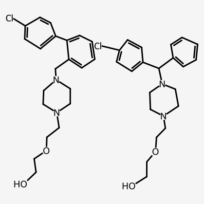 OCCOCCN1CCN(C(c2ccccc2)c2ccc(Cl)cc2)CC1.OCCOCCN1CCN(Cc2ccccc2-c2ccc(Cl)cc2)CC1